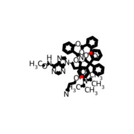 CONc1ncnc2c1ncn2[C@H]1C[C@H](OP(OCCC#N)N(C(C)C)C(C)C)[C@@H](C(OC(=O)c2ccccc2C(=O)Oc2ccccc2C#N)C(c2ccccc2)(c2ccccc2)c2ccccc2)O1